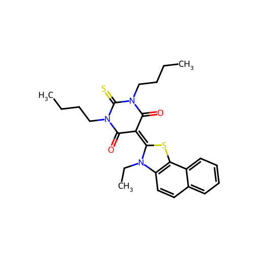 CCCCN1C(=O)C(=C2Sc3c(ccc4ccccc34)N2CC)C(=O)N(CCCC)C1=S